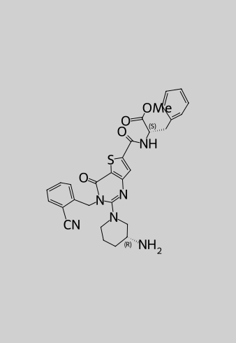 COC(=O)[C@H](Cc1ccccc1)NC(=O)c1cc2nc(N3CCC[C@@H](N)C3)n(Cc3ccccc3C#N)c(=O)c2s1